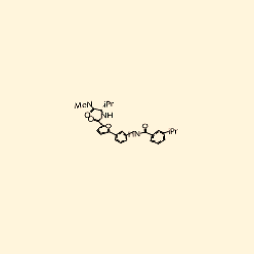 CNC(=O)[C@@H](NC(=O)c1ccc(-c2cccc(CNC(=O)c3cccc(C(C)C)c3)c2)o1)C(C)C